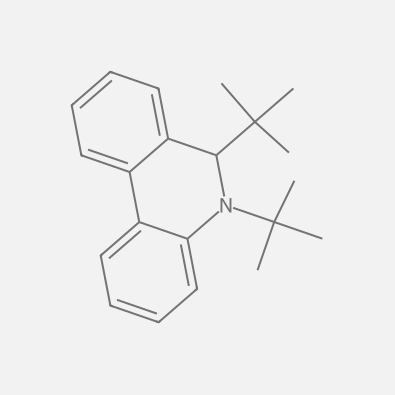 CC(C)(C)C1c2ccccc2-c2ccccc2N1C(C)(C)C